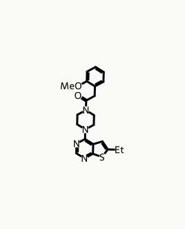 CCc1cc2c(N3CCN(C(=O)Cc4ccccc4OC)CC3)ncnc2s1